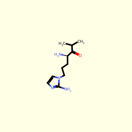 CC(C)C(=O)[C@H](N)CCCn1ccnc1N